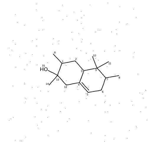 CC1CC2C(=CCC(C)C2(C)C)CC1(C)O